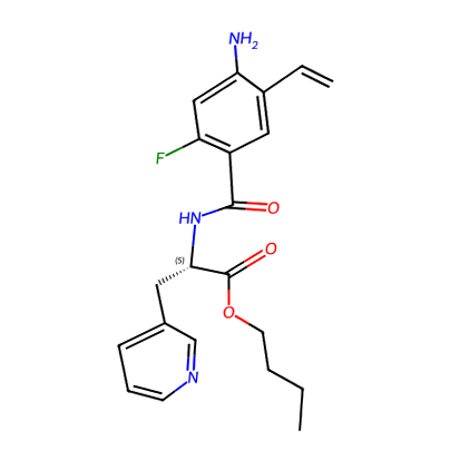 C=Cc1cc(C(=O)N[C@@H](Cc2cccnc2)C(=O)OCCCC)c(F)cc1N